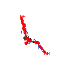 C=C[C@H]1C[C@@H](/C=C\[C@H]2C[C@@H](C=Cc3ccccc3)[C@H]3C(=O)N(CCCCCC(=O)NCc4cn(C[C@@H](C)COCc5cn(CCOCCOCCOCCO)nn5)nn4)C(=O)[C@H]32)[C@H]2C(=O)N(CCCCCC(=O)NCc3cn(C[C@H](C)COCc4cn(CCOCCOCCOCCO)nn4)nn3)C(=O)[C@H]21